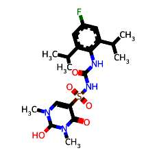 CC(C)c1cc(F)cc(C(C)C)c1NC(=O)NS(=O)(=O)C1=CN(C)C(O)N(C)C1=O